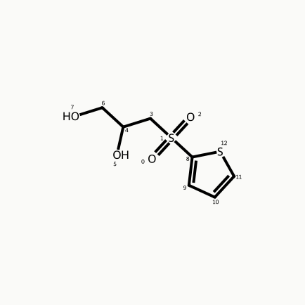 O=S(=O)(CC(O)CO)c1cccs1